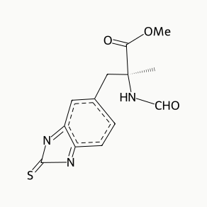 COC(=O)[C@](C)(Cc1ccc2c(c1)=NC(=S)N=2)NC=O